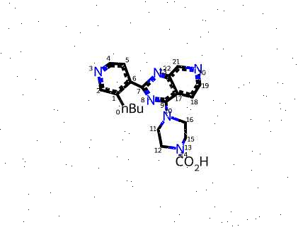 CCCCc1cnccc1-c1nc(N2CCN(C(=O)O)CC2)c2ccncc2n1